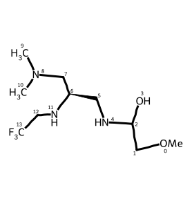 COCC(O)NC[C@H](CN(C)C)NCC(F)(F)F